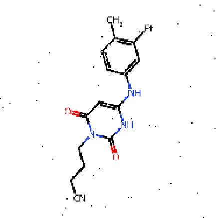 CCc1cc(Nc2cc(=O)n(CCCC#N)c(=O)[nH]2)ccc1C